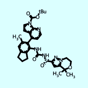 Cc1cc2c(c(NC(=O)N[S+]([O-])c3cc4n(n3)CCOC4(C)C)c1-c1ccnc3c1ccn3C(=O)OC(C)(C)C)CCC2